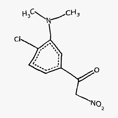 CN(C)c1cc(C(=O)C[N+](=O)[O-])ccc1Cl